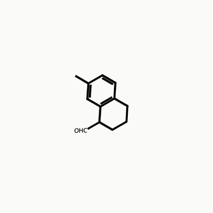 Cc1ccc2c(c1)C(C=O)CCC2